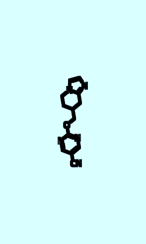 N#Cc1cnc(OCC2CCn3ccnc3C2)nc1